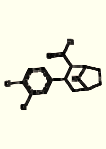 CCC(=O)C1C2CCC(CC1c1ccc(Cl)c(Cl)c1)N2